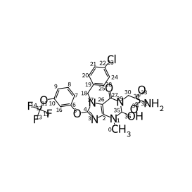 CN1c2nc(Oc3cccc(OC(F)(F)F)c3)n(Cc3ccc(Cl)cc3)c2C(=O)N(CS(N)(=O)=O)C1O